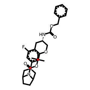 CC(C)(C)OC(=O)N1C2CCC1CN(c1cc(F)c3c(c1)OC[C@@H](NC(=O)OCc1ccccc1)C3)C2